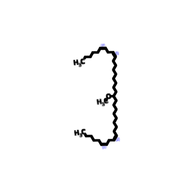 CCCCC/C=C\C/C=C\CCCCCCCCC(CCCCCCCC/C=C\C/C=C\CCCCC)OC